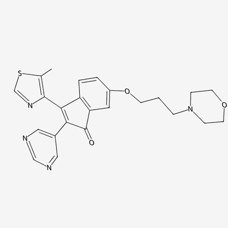 Cc1scnc1C1=C(c2cncnc2)C(=O)c2cc(OCCCN3CCOCC3)ccc21